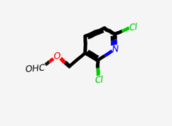 O=COCc1ccc(Cl)nc1Cl